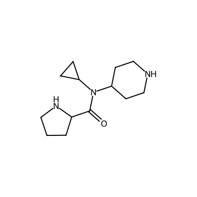 O=C(C1CCCN1)N(C1CCNCC1)C1CC1